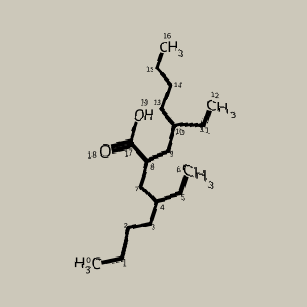 CCCCC(CC)CC(CC(CC)CCCC)C(=O)O